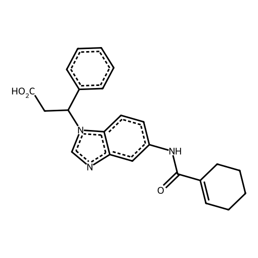 O=C(O)CC(c1ccccc1)n1cnc2cc(NC(=O)C3=CCCCC3)ccc21